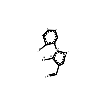 O=Cc1cnn(-c2ccccc2F)c1Cl